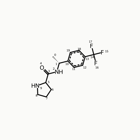 C[C@@H](NC(=O)C1CCCN1)c1ccc(C(F)(F)F)cc1